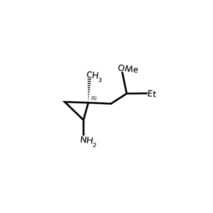 CCC(C[C@]1(C)CC1N)OC